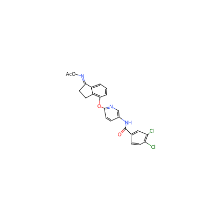 CC(=O)ON=C1CCc2c(Oc3ccc(NC(=O)c4ccc(Cl)c(Cl)c4)cn3)cccc21